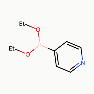 CCOB(OCC)c1ccncc1